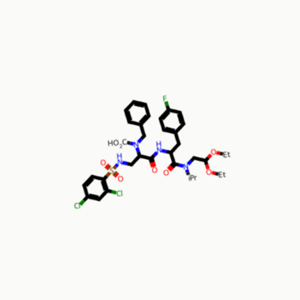 CCOC(CN(C(=O)C(Cc1ccc(F)cc1)NC(=O)C(CNS(=O)(=O)c1ccc(Cl)cc1Cl)N(Cc1ccccc1)C(=O)O)C(C)C)OCC